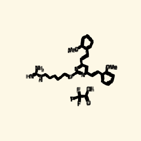 COc1ccccc1C=Cc1cc(C=Cc2ccccc2OC)nc(OCCCCCNC(=N)N)n1.O=C(O)C(F)(F)F